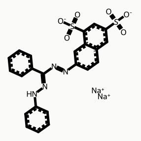 O=S(=O)([O-])c1cc(S(=O)(=O)[O-])c2cc(N=NC(=NNc3ccccc3)c3ccccc3)ccc2c1.[Na+].[Na+]